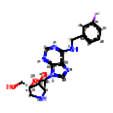 OC[C@@]12CNC(C1O)[C@H](n1cnc3c(NCc4cccc(I)c4)ncnc31)O2